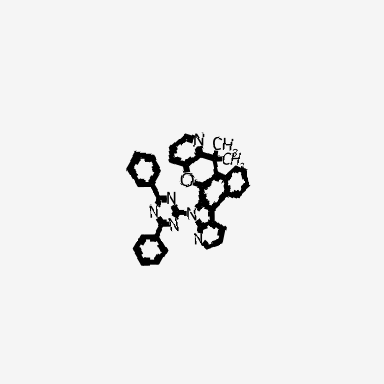 CC1(C)c2ncccc2Oc2c1c1ccccc1c1c3cccnc3n(-c3nc(-c4ccccc4)nc(-c4ccccc4)n3)c21